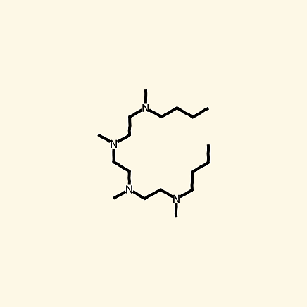 CCCCN(C)CCN(C)CCN(C)CCN(C)CCCC